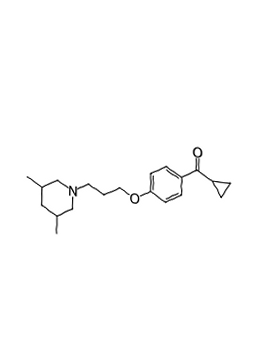 CC1CC(C)CN(CCCOc2ccc(C(=O)C3CC3)cc2)C1